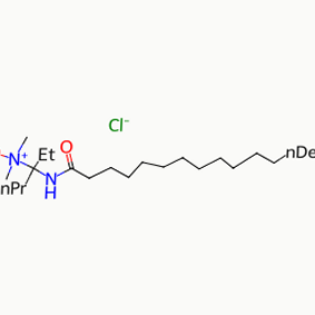 CCCCCCCCCCCCCCCCCCCCCC(=O)NC(CC)(CCC)[N+](C)(C)O.[Cl-]